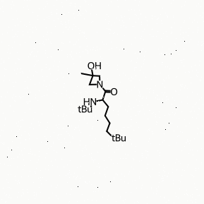 CC(C)(C)CCCCC(NC(C)(C)C)C(=O)N1CC(C)(O)C1